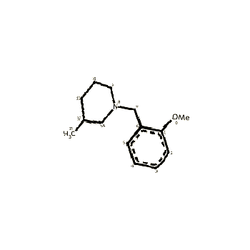 COc1ccccc1CN1CCCC(C)C1